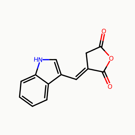 O=C1CC(=Cc2c[nH]c3ccccc23)C(=O)O1